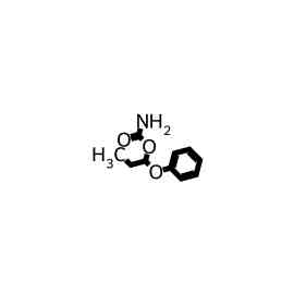 CCC(OC(N)=O)Oc1ccccc1